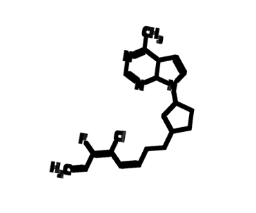 C=C/C(F)=C(Cl)\C=C/CCC1CCC(N2C=CC3C(C)=NC=NC32)C1